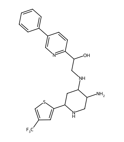 NC1CNC(c2cc(C(F)(F)F)cs2)CC1NCC(O)c1ccc(-c2ccccc2)cn1